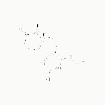 CCOc1nc(Cl)nc2c1CC[C@H]1[C@H](C)C(=O)CC[C@]21C